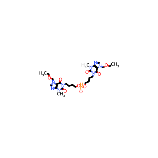 CCOCn1cnc2c1c(=O)n(CCCCO[PH](=O)OCCCCn1c(=O)c3c(ncn3COCC)n(C)c1=O)c(=O)n2C